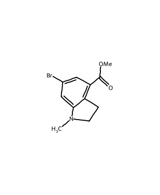 COC(=O)c1cc(Br)cc2c1CCN2C